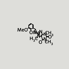 COc1cccc(CSc2nc3c(c(=O)n(C)c(=O)n3C)n2C)c1OC